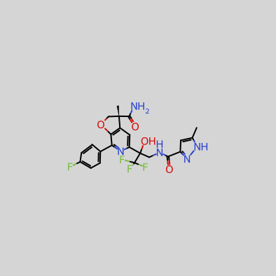 Cc1cc(C(=O)NCC(O)(c2cc3c(c(-c4ccc(F)cc4)n2)OC[C@]3(C)C(N)=O)C(F)(F)F)n[nH]1